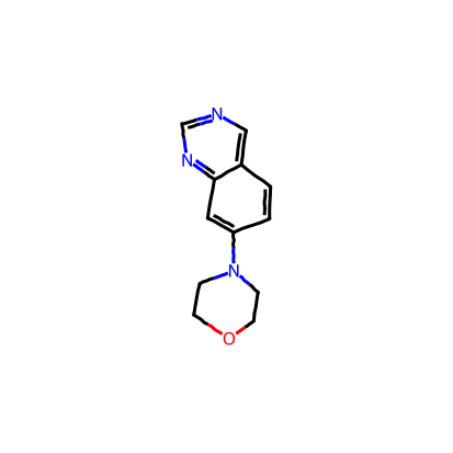 c1ncc2ccc(N3CCOCC3)cc2n1